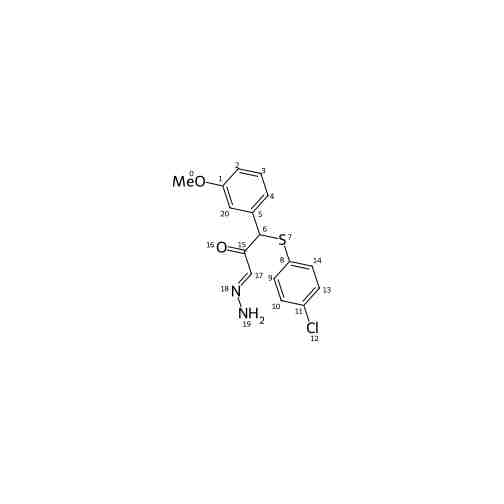 COc1cccc(C(Sc2ccc(Cl)cc2)C(=O)C=NN)c1